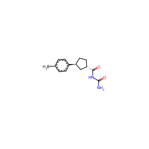 Bc1ccc([C@H]2CC[C@H](C(=O)NC(N)=O)C2)cc1